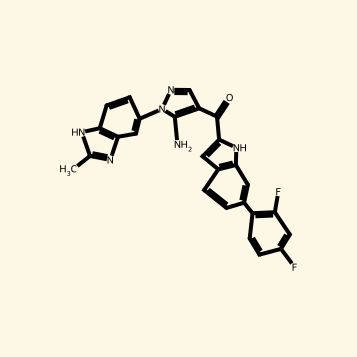 Cc1nc2cc(-n3ncc(C(=O)c4cc5ccc(-c6ccc(F)cc6F)cc5[nH]4)c3N)ccc2[nH]1